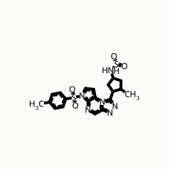 Cc1ccc(S(=O)(=O)n2ccc3c2ncc2nnc(C4CC(N[SH](=O)=O)CC4C)n23)cc1